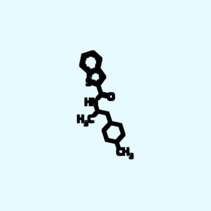 CC1CCC(CC(C)NC(=O)c2cc3ccccc3s2)CC1